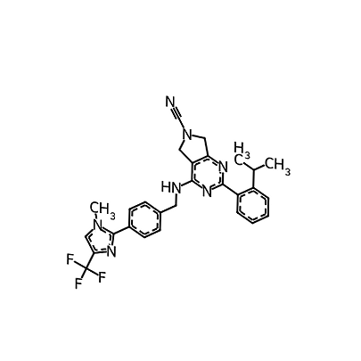 CC(C)c1ccccc1-c1nc2c(c(NCc3ccc(-c4nc(C(F)(F)F)cn4C)cc3)n1)CN(C#N)C2